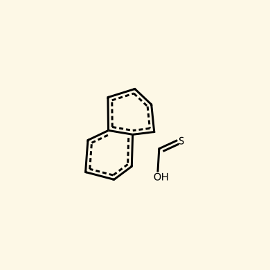 OC=S.c1ccc2ccccc2c1